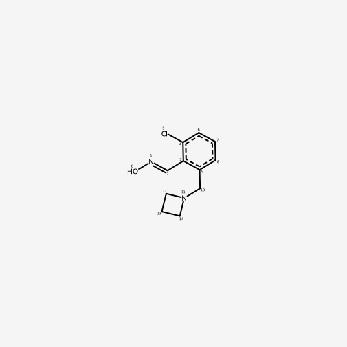 ON=Cc1c(Cl)cccc1CN1CCC1